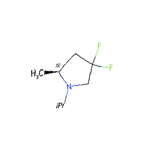 CC(C)N1CC(F)(F)C[C@@H]1C